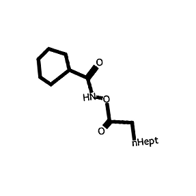 CCCCCCCCC(=O)ONC(=O)C1CCCCC1